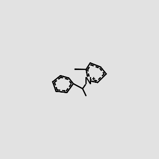 Cc1cccc[n+]1C(C)c1ccccc1